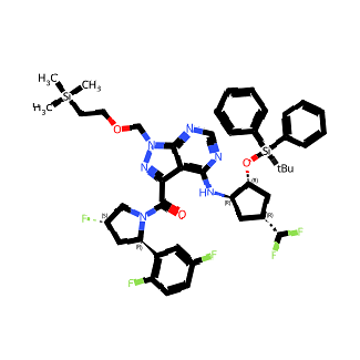 CC(C)(C)[Si](O[C@@H]1C[C@H](C(F)F)C[C@H]1Nc1ncnc2c1c(C(=O)N1C[C@@H](F)C[C@@H]1c1cc(F)ccc1F)nn2COCC[Si](C)(C)C)(c1ccccc1)c1ccccc1